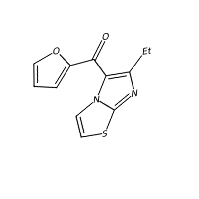 CCc1nc2sccn2c1C(=O)c1ccco1